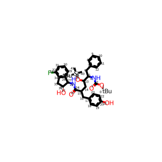 CC(C)(C)OC(=O)NC(Cc1ccccc1)C(CC(Cc1ccc(O)cc1)C(=O)NC1c2cccc(F)c2C[C@H]1O)O[Si](C)(C)C(C)(C)C